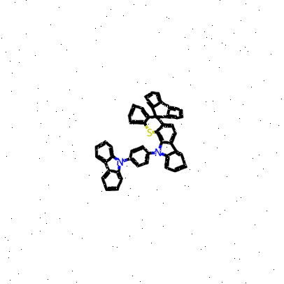 c1ccc2c(c1)Sc1c(ccc3c4ccccc4n(-c4ccc(-n5c6ccccc6c6ccccc65)cc4)c13)C21c2ccccc2-c2ccccc21